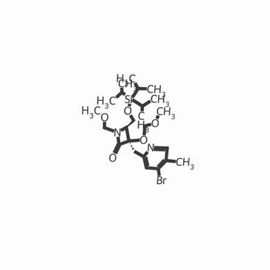 COCO[C@@]1(Cc2cc(Br)c(C)cn2)C(=O)N(COC)[C@H]1CO[Si](C(C)C)(C(C)C)C(C)C